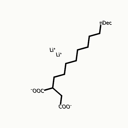 CCCCCCCCCCCCCCCCCCC(CC(=O)[O-])C(=O)[O-].[Li+].[Li+]